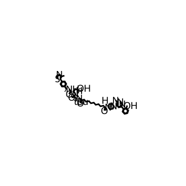 Cc1ncsc1-c1ccc([C@H](C)NC(=O)[C@@H]2C[C@@H](O)CN2C(=O)[C@@H](NC(=O)CCCCCCCCCC(=O)N2CCN(c3cc(-c4ccccc4O)nnc3N)CC2)C(C)(C)C)cc1